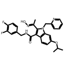 CC(=NO)c1c(C(=O)NCc2ccc(F)c(F)c2)c2ccc(OC(C)C)cc2n1Cc1ccccn1